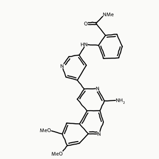 CNC(=O)c1ccccc1Nc1cncc(-c2cc3c(cnc4cc(OC)c(OC)cc43)c(N)n2)c1